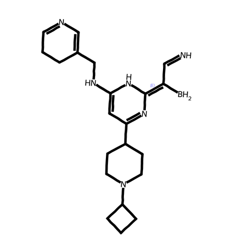 B/C(C=N)=C1\N=C(C2CCN(C3CCC3)CC2)C=C(NCC2=CN=CCC2)N1